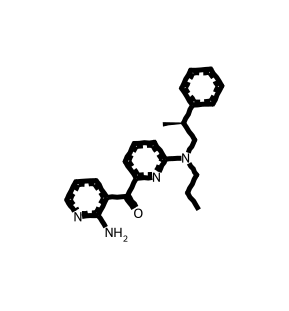 CCCN(C[C@@H](C)c1ccccc1)c1cccc(C(=O)c2cccnc2N)n1